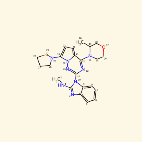 CNc1nc2ccccc2n1-c1nc(N2CCOCC2C)c2ccc(N3CCCS3)n2n1